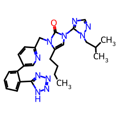 CCCCc1cn(-c2ncnn2CC(C)C)c(=O)n1Cc1ccc(-c2ccccc2-c2nnn[nH]2)cn1